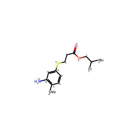 CCCCC(CC)COC(=O)CCSc1ccc(SC)c(N)c1